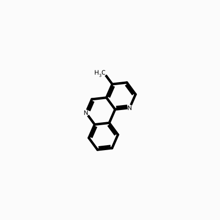 Cc1ccnc2c1cnc1ccccc12